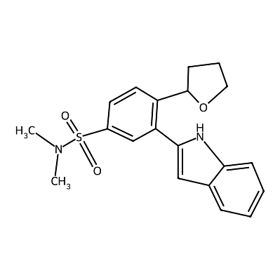 CN(C)S(=O)(=O)c1ccc(C2CCCO2)c(-c2cc3ccccc3[nH]2)c1